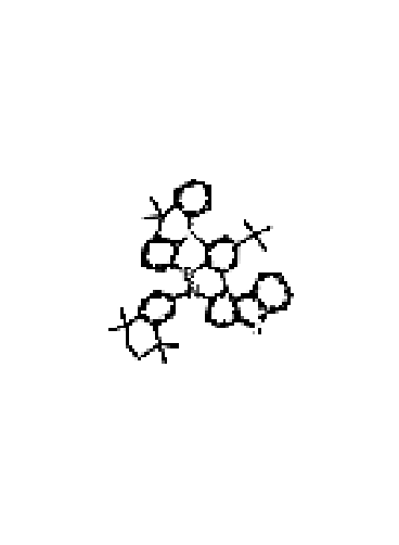 CC(C)(C)c1cc2c3c(c1)N1c4ccccc4C(C)(C)c4cccc(c41)B3N(c1ccc3c(c1)C(C)(C)CCC3(C)C)c1ccc3sc4ccccc4c3c1-2